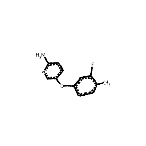 Cc1ccc(Oc2ccc(N)nc2)cc1F